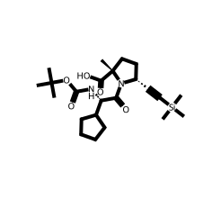 CC(C)(C)OC(=O)N[C@H](C(=O)N1[C@@H](C#C[Si](C)(C)C)CC[C@@]1(C)C(=O)O)C1CCCC1